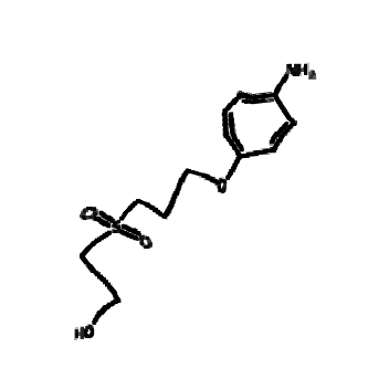 Nc1ccc(OCCCS(=O)(=O)CCO)cc1